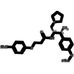 CCCCCCOc1ccc([C@@H](C)[C@@H](CN2CCCC2)NC(=O)CCOc2ccc(OC)cc2)cc1